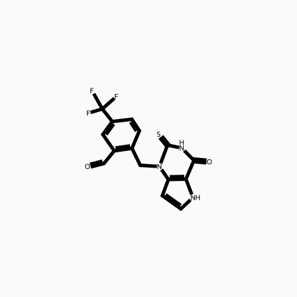 O=Cc1cc(C(F)(F)F)ccc1Cn1c(=S)[nH]c(=O)c2[nH]ccc21